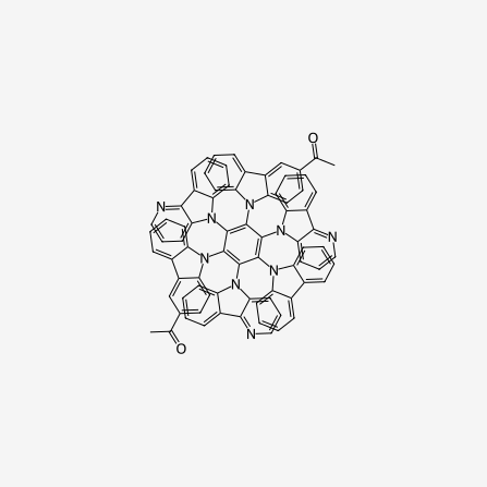 CC(=O)c1ccc2c(c1)c1ccccc1n2-c1c(-n2c3ccccc3c3ncccc32)c(-n2c3ccccc3c3ccccc32)c(-n2c3ccccc3c3ncccc32)c(-n2c3ccccc3c3cc(C(C)=O)ccc32)c1-n1c2ccccc2c2ncccc21